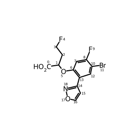 O=C(O)C(CCF)Oc1cc(F)c(Br)cc1-c1ccon1